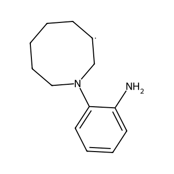 Nc1ccccc1N1C[CH]CCCCC1